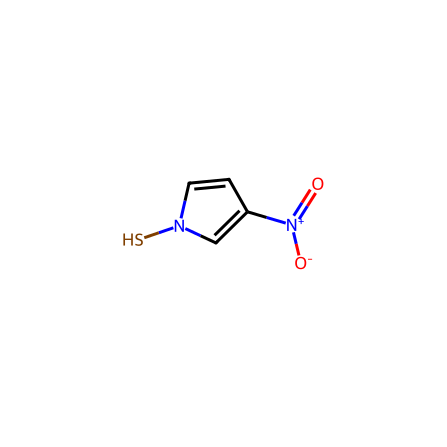 O=[N+]([O-])c1ccn(S)c1